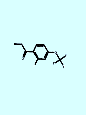 CCC(=O)c1ccc(OC(F)(F)F)cc1F